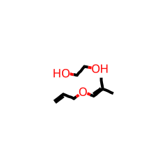 C=CCOC=C(C)C.OCCO